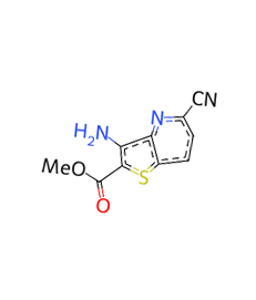 COC(=O)c1sc2ccc(C#N)nc2c1N